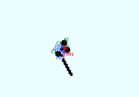 CCCCCCCCCCCCNC(=O)c1ccc(Cl)c(Nc2[nH]n(-c3c(Cl)cc(Cl)cc3Cl)c(=O)c2N=Nc2ccccc2O)c1